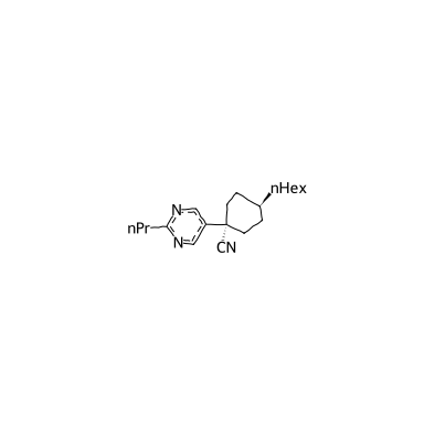 CCCCCC[C@H]1CC[C@@](C#N)(c2cnc(CCC)nc2)CC1